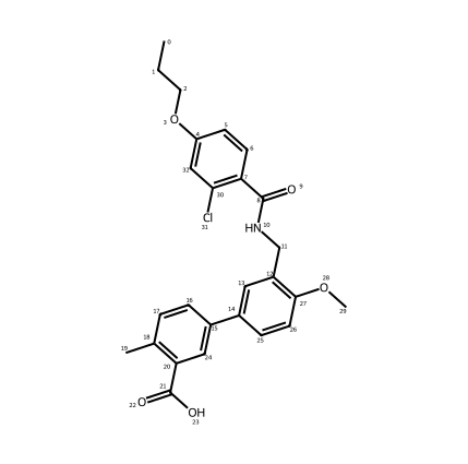 CCCOc1ccc(C(=O)NCc2cc(-c3ccc(C)c(C(=O)O)c3)ccc2OC)c(Cl)c1